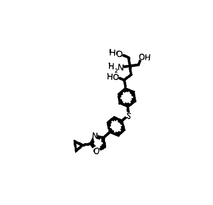 NC(CO)(CO)CC(O)c1ccc(Sc2ccc(-c3coc(C4CC4)n3)cc2)cc1